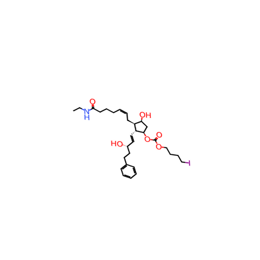 CCNC(=O)CCC/C=C\C[C@@H]1[C@@H](/C=C/[C@@H](O)CCc2ccccc2)[C@H](OC(=O)OCCCCI)C[C@@H]1O